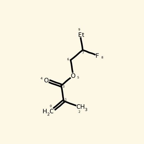 C=C(C)C(=O)OCC(F)CC